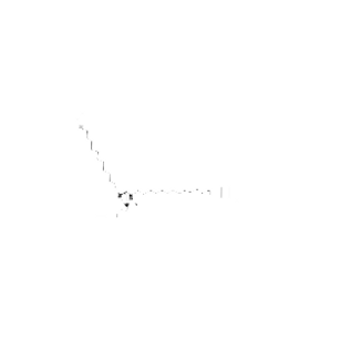 C[CH]c1nc(CCCCCCCCCCCCCC)cc(CCCCCCCCCCCCCC)n1